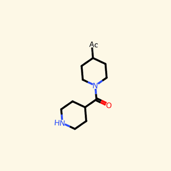 CC(=O)C1CCN(C(=O)C2CCNCC2)CC1